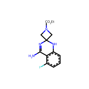 CCOC(=O)N1CC2(C1)N=C(N)c1c(F)cccc1N2